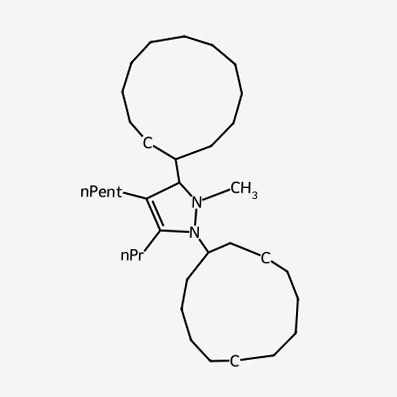 CCCCCC1=C(CCC)N(C2CCCCCCCCCCC2)N(C)C1C1CCCCCCCCCCC1